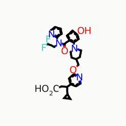 O=C(O)CC(c1ccnc(OCC2CCN(c3cc(O)ccc3C(=O)N(CC(F)F)c3ccccn3)CC2)c1)C1CC1